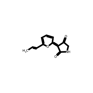 C/C=C/C1=CC=C/C(=C2\C(=O)CNC2=O)O1